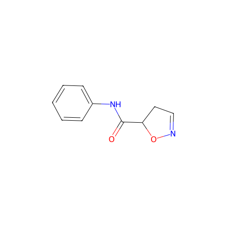 O=C(Nc1ccccc1)C1CC=NO1